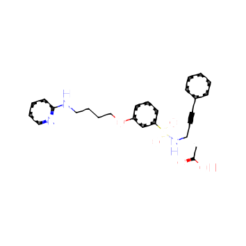 O=C(O)C[C@@H](C#Cc1ccccc1)NS(=O)(=O)c1cccc(OCCCCNc2ccccn2)c1